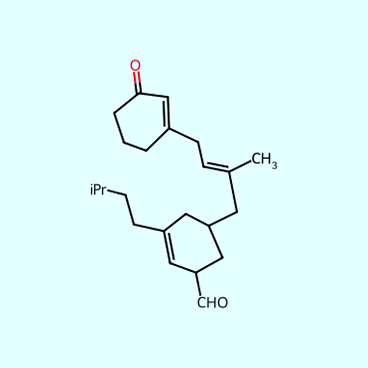 C/C(=C\CC1=CC(=O)CCC1)CC1CC(CCC(C)C)=CC(C=O)C1